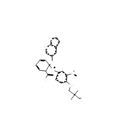 CC(C)(CO)CNc1ccc(S(=O)(=O)C2(Oc3cnc4[nH]ccc4c3)C=CC=CC2C(N)=O)cc1[N+](=O)[O-]